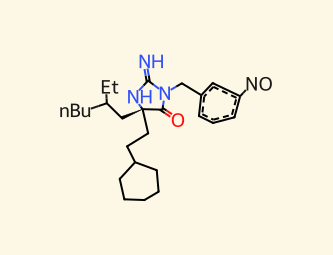 CCCCC(CC)C[C@@]1(CCC2CCCCC2)NC(=N)N(Cc2cccc(N=O)c2)C1=O